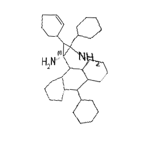 NC1(C2CCCCC2)C(C2C=CCCC2)[C@]1(N)C1C2CCCCC2C(C2CCCCC2)C2CCCCC21